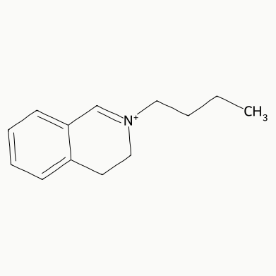 CCCC[N+]1=Cc2ccccc2CC1